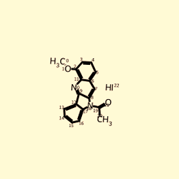 COc1cccc2cc3c(nc12)c1ccccc1n3C(C)=O.I